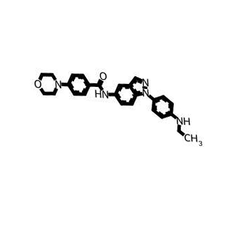 CCNc1ccc(-n2ncc3cc(NC(=O)c4ccc(N5CCOCC5)cc4)ccc32)cc1